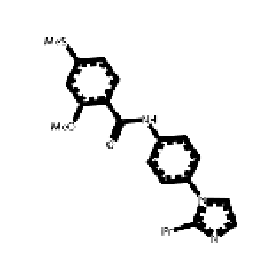 COc1cc(SC)ccc1C(=O)Nc1ccc(-n2ccnc2C(C)C)cc1